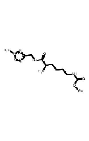 Cn1nnc(CNC(=O)C(N)CCCCNC(=O)OC(C)(C)C)n1